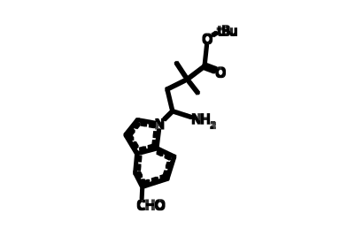 CC(C)(C)OC(=O)C(C)(C)CC(N)n1ccc2cc(C=O)ccc21